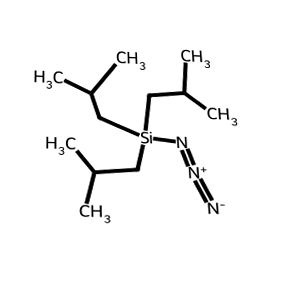 CC(C)C[Si](CC(C)C)(CC(C)C)N=[N+]=[N-]